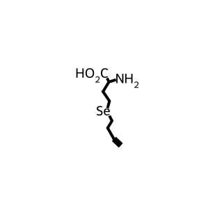 C#CCC[Se]CCC(N)C(=O)O